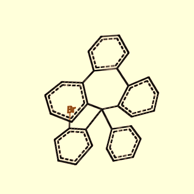 Brc1ccccc1C1(c2ccccc2)c2ccccc2-c2ccccc2-c2ccccc21